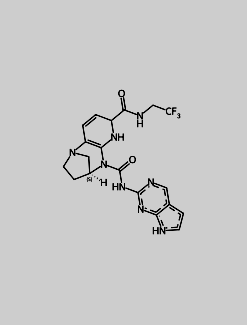 O=C(NCC(F)(F)F)C1C=CC2=C(N1)N(C(=O)Nc1ncc3cc[nH]c3n1)[C@H]1CCN2C1